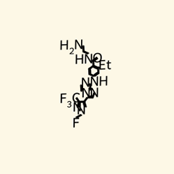 CCc1cc(Nc2nccn3c(-c4cn(CCF)nc4C(F)(F)F)cnc23)ccc1C(=O)NCCCN